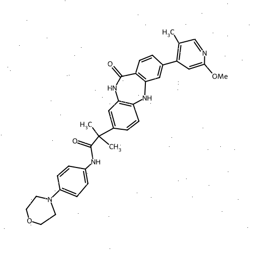 COc1cc(-c2ccc3c(c2)Nc2ccc(C(C)(C)C(=O)Nc4ccc(N5CCOCC5)cc4)cc2NC3=O)c(C)cn1